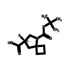 CC(C)(C)OC(=O)N1C[C@@](F)(C(=O)O)CC12CCC2